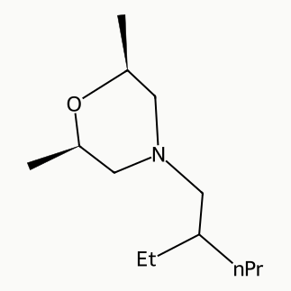 CCCC(CC)CN1C[C@@H](C)O[C@@H](C)C1